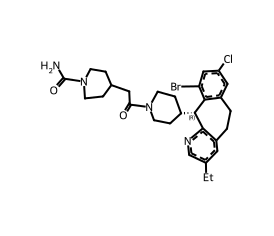 CCc1cnc2c(c1)CCc1cc(Cl)cc(Br)c1[C@H]2C1CCN(C(=O)CC2CCN(C(N)=O)CC2)CC1